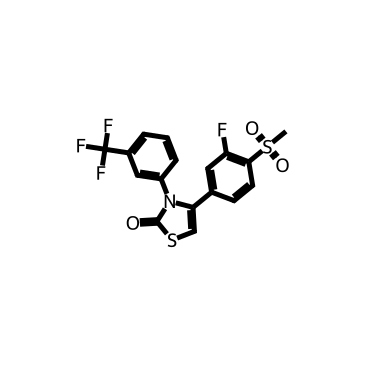 CS(=O)(=O)c1ccc(-c2csc(=O)n2-c2cccc(C(F)(F)F)c2)cc1F